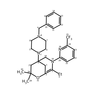 CCC1=C2CC(N3CCN(Cc4ccccc4)CC3)(CN1c1cccc(C(F)(F)F)n1)CC(C)(C)O2